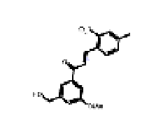 COc1cc(CO)cc(C(=O)/C=C/c2ccc(C)cc2[N+](=O)[O-])c1